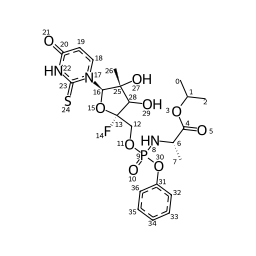 CC(C)OC(=O)[C@H](C)NP(=O)(OC[C@@]1(F)O[C@@H](n2ccc(=O)[nH]c2=S)[C@](C)(O)C1O)Oc1ccccc1